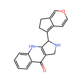 O=c1c2c([nH]c3ccccc13)C(C1=C3C=COC=C3CC1)NC2